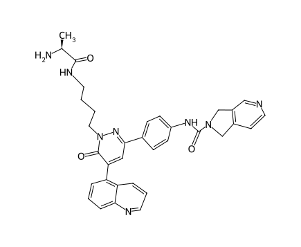 C[C@H](N)C(=O)NCCCCn1nc(-c2ccc(NC(=O)N3Cc4ccncc4C3)cc2)cc(-c2cccc3ncccc23)c1=O